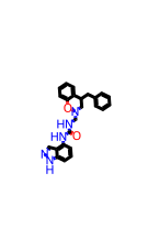 O=C(NCN1CC(Cc2ccccc2)c2ccccc2O1)Nc1cccc2[nH]ncc12